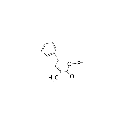 CC(=CCc1ccccc1)C(=O)OC(C)C